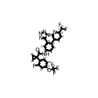 O=C(Nc1ccc(-c2ccc(C(F)F)nc2)c(-c2nnn[nH]2)c1)C1(c2ccc(OC(F)(F)F)cc2F)CC1